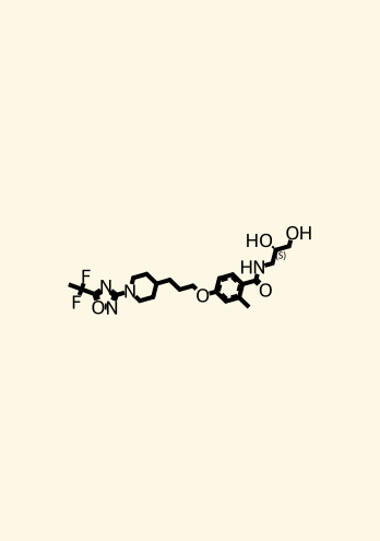 Cc1cc(OCCCC2CCN(c3noc(C(C)(F)F)n3)CC2)ccc1C(=O)NC[C@H](O)CO